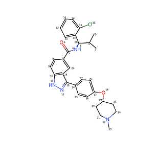 CC(C)[C@@H](NC(=O)c1ccc2[nH]nc(-c3ccc(OC4CCN(C)CC4)cc3)c2c1)c1ccccc1Cl